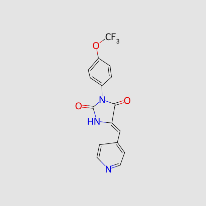 O=C1N/C(=C\c2ccncc2)C(=O)N1c1ccc(OC(F)(F)F)cc1